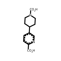 O=C(O)c1ccc(C2CCN(C(=O)O)CC2)cn1